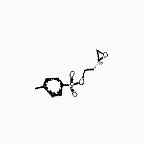 Cc1ccc(S(=O)(=O)OCC[C@@H]2CO2)cc1